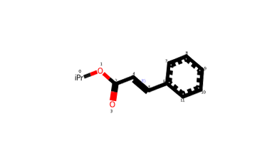 CC(C)OC(=O)/C=C/c1ccccc1